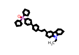 CCn1c2ccccc2c2cc(/C=C/c3ccc(-c4ccc(P(=O)(c5ccccc5)c5ccccc5)cc4)cc3)ccc21